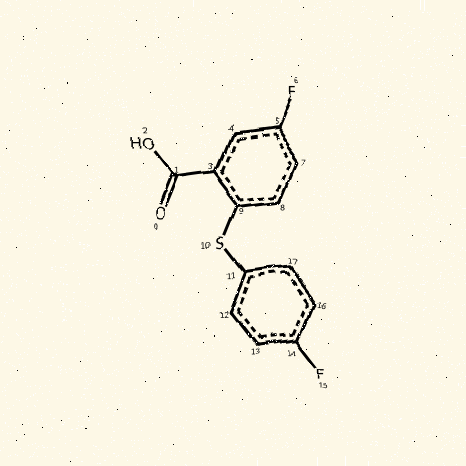 O=C(O)c1cc(F)ccc1Sc1ccc(F)cc1